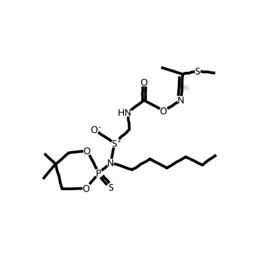 CCCCCCN([S+]([O-])CNC(=O)O/N=C(\C)SC)P1(=S)OCC(C)(C)CO1